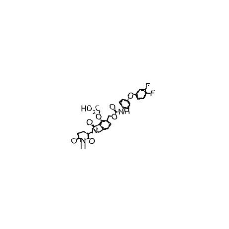 O=C(O)COc1c(COC(=O)Nc2ccc(Oc3ccc(F)c(F)c3)cc2)ccc2c1C(=O)N(C1CCC(=O)NC1=O)C2